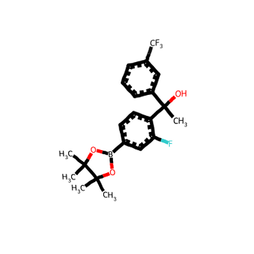 CC(O)(c1cccc(C(F)(F)F)c1)c1ccc(B2OC(C)(C)C(C)(C)O2)cc1F